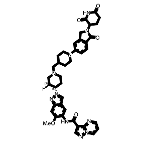 COc1cc2nn([C@H]3CCN(CC4CCN(c5ccc6c(c5)CN(C5CCC(=O)NC5=O)C6=O)CC4)C[C@@H]3F)cc2cc1NC(=O)c1cnn2cccnc12